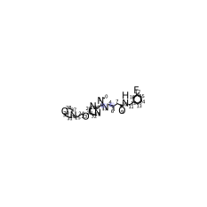 C=N/C(=N\C=C(/C)CC(=O)NCc1cccc(F)c1)c1ncc(OCCN2CCOCC2)cn1